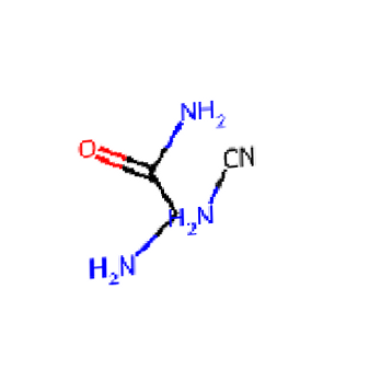 N#CN.NCC(N)=O